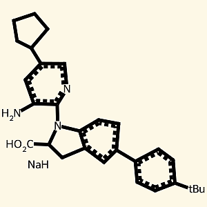 CC(C)(C)c1ccc(-c2ccc3c(c2)CC(C(=O)O)N3c2ncc(C3CCCC3)cc2N)cc1.[NaH]